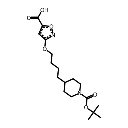 CC(C)(C)OC(=O)N1CCC(CCCCOc2cc(C(=O)O)on2)CC1